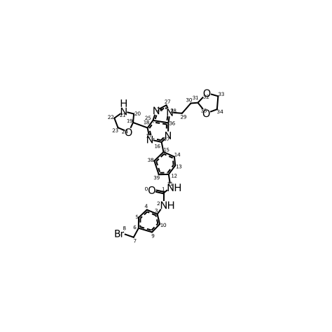 O=C(Nc1ccc(CBr)cc1)Nc1ccc(-c2nc(C3CNCCO3)c3ncn(CCC4OCCO4)c3n2)cc1